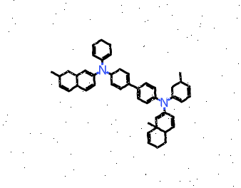 CC1C=CC=C(N(C2=CC3(C)C=CCCC3C=C2)c2ccc(C3=CCC(N(C4=CCCC=C4)C4=CC5CC(C)C=CC5C=C4)C=C3)cc2)C1